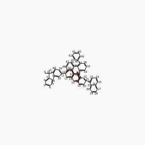 CC1(C)c2ccccc2-c2cc(-c3ccc(N(c4cccc(-c5cccc6ccccc56)c4)c4cccc(-c5ccccc5)c4-c4ccccc4-c4ccccc4)cc3)ccc21